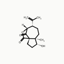 C=C(C)[C@@H]1CC[C@@]2(C)[C@H](O)CC[C@]23C(=O)O[C@H]1C3=O